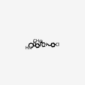 Cn1c2c(c3ccc(N4CCN(CCc5ccc(Cl)cc5)CC4=O)cc31)CNCCC2